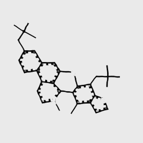 Cc1c2c(c(CC(C)(C)C)c3sccc13)Sc1cc3cc(CC(C)(C)C)ccc3c3cc[n+](C)c-2c13